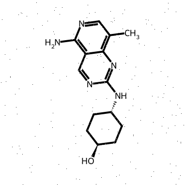 Cc1cnc(N)c2cnc(N[C@H]3CC[C@H](O)CC3)nc12